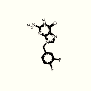 Nc1nc2c(ncn2Cc2ccc(F)c(F)c2)c(=O)[nH]1